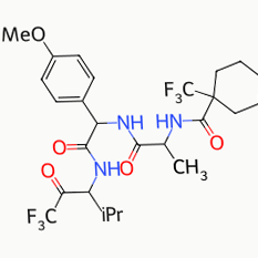 COc1ccc(C(NC(=O)C(C)NC(=O)C2(C(F)(F)F)CCCCC2)C(=O)NC(C(=O)C(F)(F)F)C(C)C)cc1